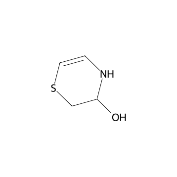 OC1CSC=CN1